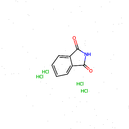 Cl.Cl.Cl.Cl.O=C1NC(=O)c2ccccc21